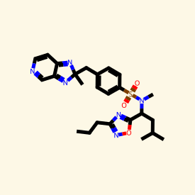 CCCc1noc(C(CC(C)C)N(C)S(=O)(=O)c2ccc(CC3(C)N=c4ccncc4=N3)cc2)n1